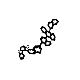 c1ccc2cc(-c3c4ccccc4c(-c4ccc(-c5ccc6ccc7c(oc8ccc9oc%10ccccc%10c9c87)c6c5)c5ccccc45)c4ccccc34)ccc2c1